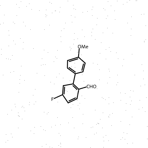 COc1ccc(-c2cc(F)ccc2C=O)cc1